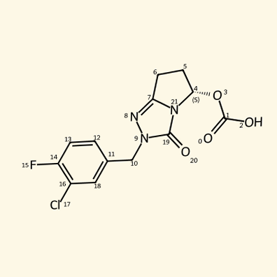 O=C(O)O[C@H]1CCc2nn(Cc3ccc(F)c(Cl)c3)c(=O)n21